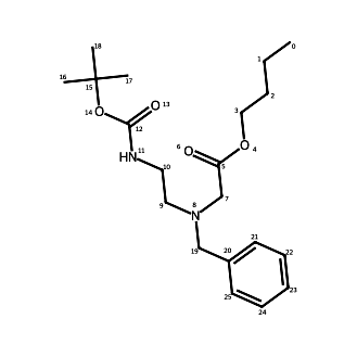 CCCCOC(=O)CN(CCNC(=O)OC(C)(C)C)Cc1ccccc1